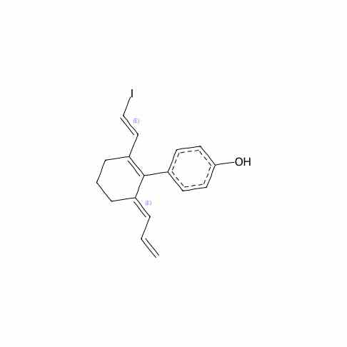 C=C/C=C1\CCCC(/C=C/I)=C1c1ccc(O)cc1